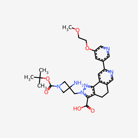 COCCOc1cncc(-c2cc3c(cn2)CCc2c-3nn(CC3(N)CN(C(=O)OC(C)(C)C)C3)c2C(=O)O)c1